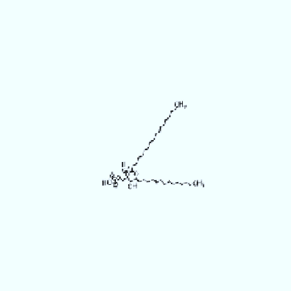 CCCCCCCCCC=CCCC=CC(O)C(COS(=O)(=O)O)N(C)C(=O)CCCCCCCCCCCCCCCCC